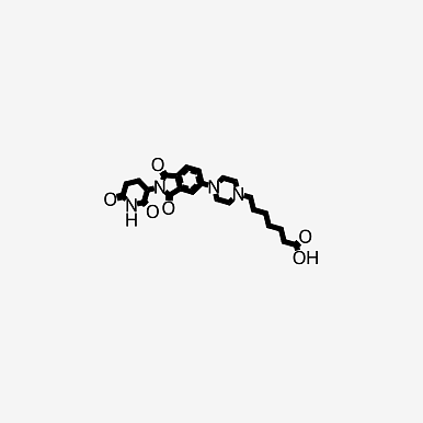 O=C(O)CCCCCCN1CCN(c2ccc3c(c2)C(=O)N(C2CCC(=O)NC2=O)C3=O)CC1